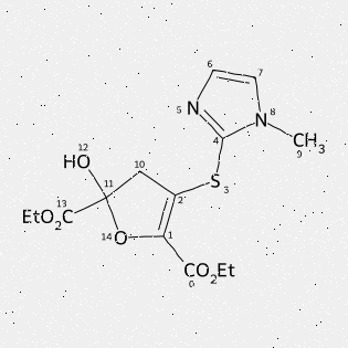 CCOC(=O)C1=C(Sc2nccn2C)CC(O)(C(=O)OCC)O1